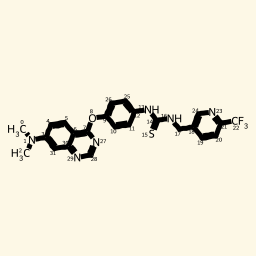 CN(C)c1ccc2c(Oc3ccc(NC(=S)NCc4ccc(C(F)(F)F)nc4)cc3)ncnc2c1